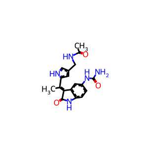 CC(=O)NCc1c[nH]c(/C(C)=C2/C(=O)Nc3ccc(NC(N)=O)cc32)c1